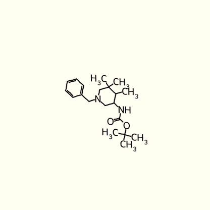 CC1C(NC(=O)OC(C)(C)C)CN(Cc2ccccc2)CC1(C)C